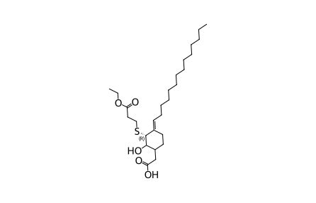 CCCCCCCCCCCCCC=C1CCC(CC(=O)O)C(O)[C@@H]1SCCC(=O)OCC